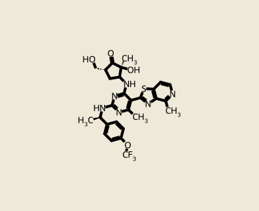 Cc1nc(N[C@H](C)c2ccc(OC(F)(F)F)cc2)nc(NC2C[C@H](CO)C(=O)[C@@]2(C)O)c1-c1nc2c(C)nccc2s1